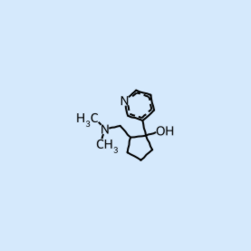 CN(C)CC1CCCC1(O)c1cccnc1